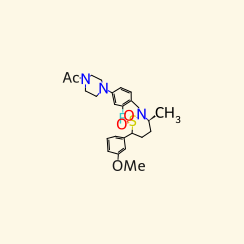 COc1cccc(C2CC[C@H](C)N(Cc3ccc(N4CCN(C(C)=O)CC4)cc3F)S2(=O)=O)c1